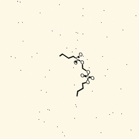 CCCCOS(=O)(=O)OCOS(=O)(=O)CCCC